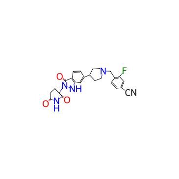 N#Cc1ccc(CN2CCC(c3ccc4c(=O)n(C5CCC(=O)NC5=O)[nH]c4c3)CC2)c(F)c1